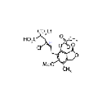 CCOC(=O)C(C/C(Cl)=C/Cc1c(OC)c(C)c2c(c1OS(C)(=O)=O)C(=O)OC2)C(=O)O